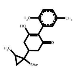 CSC1(C2CC(=O)C(c3cc(C)ccc3C)=C(O)C2)CC1C